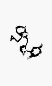 Fc1ccc(F)c(-n2nccc2Cc2nc3ncccc3n2CC2CC2)c1